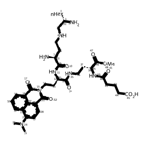 CCCCCC[C@H](N)CNCC[C@H](N)C(=O)N[C@H](CCN1C(=O)c2cccc3c(N(C)C)ccc(c23)C1=O)C(=O)NCC[C@@H](NC(=O)CCCC(=O)O)C(=O)OC